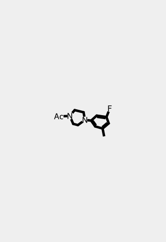 CC(=O)N1CCN(c2cc(C)cc(F)c2)CC1